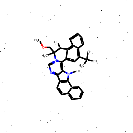 COCC1(C)C(C)c2c(cc(C(C)(C)C)c3ccccc23)-c2c3c(nc[n+]21)c1ccc2ccccc2c1n3C